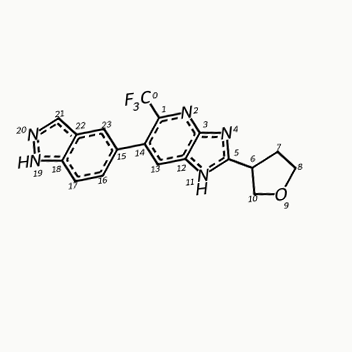 FC(F)(F)c1nc2nc(C3CCOC3)[nH]c2cc1-c1ccc2[nH]ncc2c1